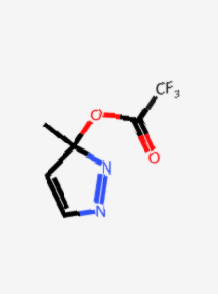 CC1(OC(=O)C(F)(F)F)C=CN=N1